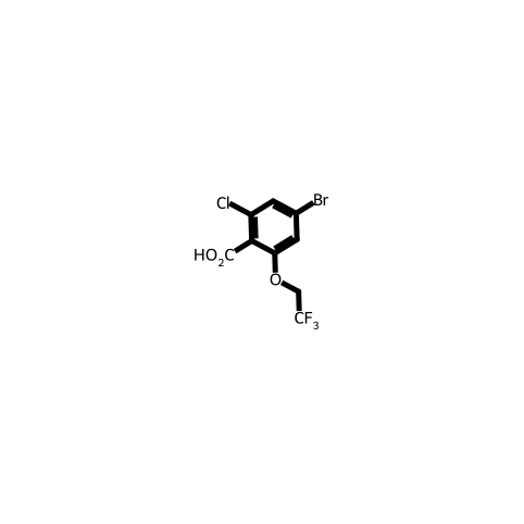 O=C(O)c1c(Cl)cc(Br)cc1OCC(F)(F)F